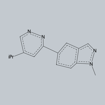 CC(C)c1cnnc(-c2ccc3c(cnn3C)c2)c1